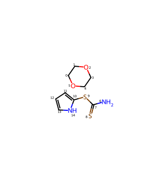 C1COCCO1.NC(=S)Sc1ccc[nH]1